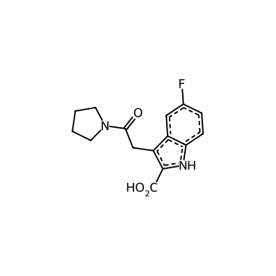 O=C(O)c1[nH]c2ccc(F)cc2c1CC(=O)N1CCCC1